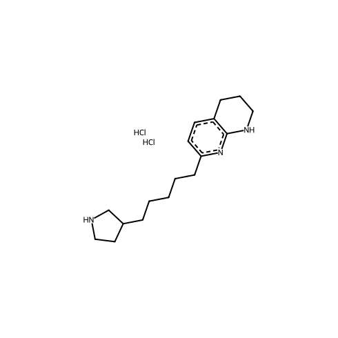 Cl.Cl.c1cc2c(nc1CCCCCC1CCNC1)NCCC2